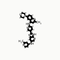 Cc1cc(Nc2cnc3[nH]c(-c4ccc(Nc5cc(C)nc6ccc(N7CCOCC7)cc56)nc4)nc3c2)ccn1